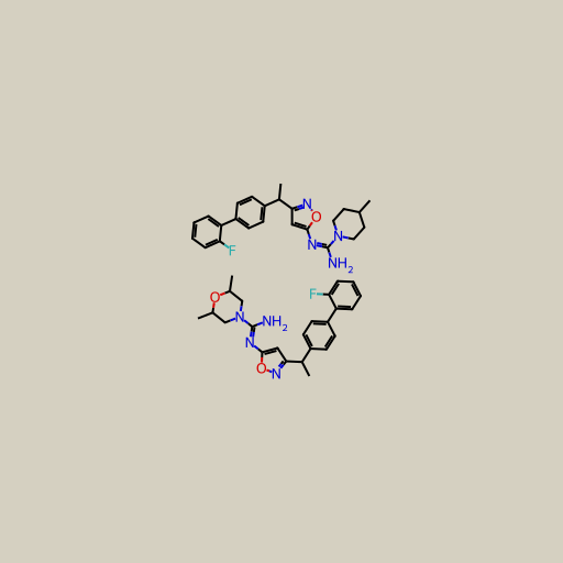 CC1CCN(/C(N)=N\c2cc(C(C)c3ccc(-c4ccccc4F)cc3)no2)CC1.CC1CN(/C(N)=N/c2cc(C(C)c3ccc(-c4ccccc4F)cc3)no2)CC(C)O1